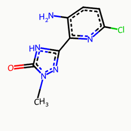 Cn1nc(-c2nc(Cl)ccc2N)[nH]c1=O